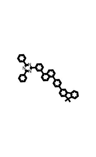 CC1(C)c2ccccc2-c2cc(-c3ccc(-c4cccc5c(-c6cccc(-c7nc(-c8ccccc8)nc(-c8ccccc8)n7)c6)cccc45)cc3)ccc21